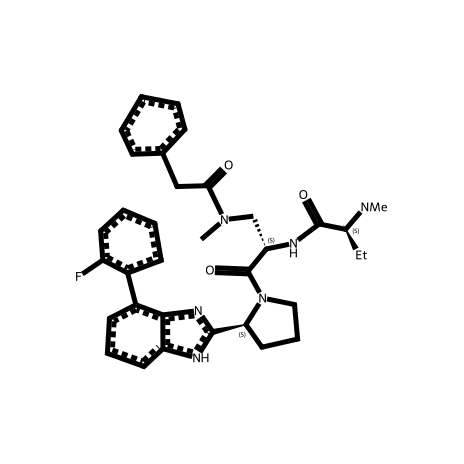 CC[C@H](NC)C(=O)N[C@@H](CN(C)C(=O)Cc1ccccc1)C(=O)N1CCC[C@H]1c1nc2c(-c3ccccc3F)cccc2[nH]1